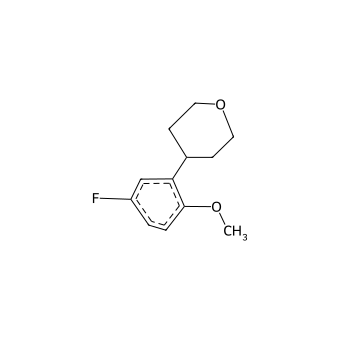 COc1ccc(F)cc1C1CCOCC1